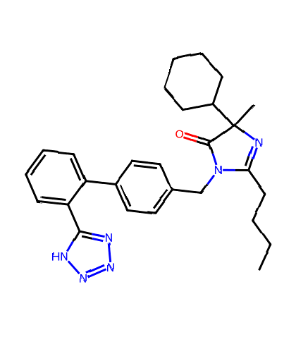 CCCCC1=NC(C)(C2CCCCC2)C(=O)N1Cc1ccc(-c2ccccc2-c2nnn[nH]2)cc1